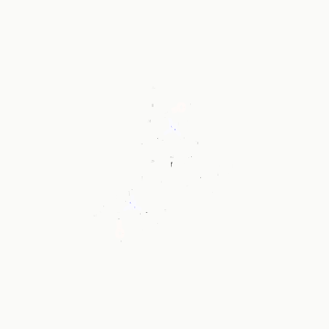 C=CC(=O)N1C(C)(C)CC(C(CC(CC)(C(=O)O)C(=O)O)C2CC(C)(C)N(C(=O)C=C)C(C)(C)C2)CC1(C)C